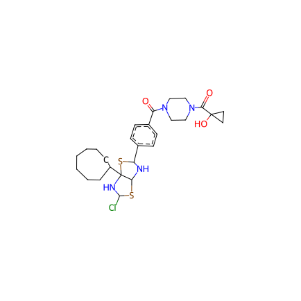 O=C(c1ccc(C2NC3SC(Cl)NC3(C3CCCCCCC3)S2)cc1)N1CCN(C(=O)C2(O)CC2)CC1